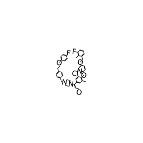 Cc1cc(/C(=C\C=O)N2CCN(Cc3ccc(CCOc4ccc(F)cc4)cc3)CC2)cc(Cl)c1Oc1ccc(OCc2cccc(F)c2C)cn1